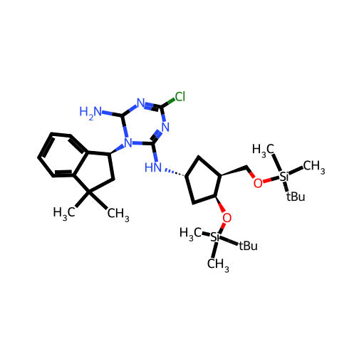 CC1(C)C[C@H](N2C(N[C@@H]3C[C@@H](CO[Si](C)(C)C(C)(C)C)[C@@H](O[Si](C)(C)C(C)(C)C)C3)=NC(Cl)=NC2N)c2ccccc21